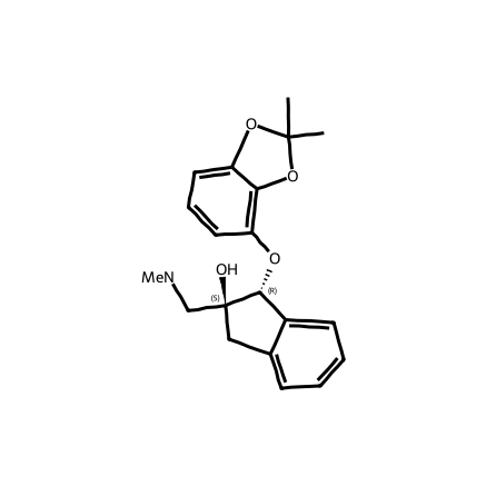 CNC[C@@]1(O)Cc2ccccc2[C@H]1Oc1cccc2c1OC(C)(C)O2